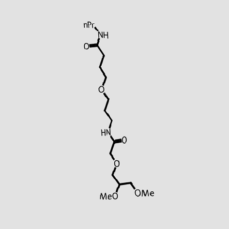 CCCNC(=O)CCCOCCCNC(=O)COCC(COC)OC